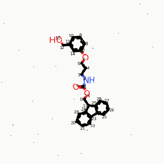 O=C(NCCCOc1cccc(CO)c1)OCC1c2ccccc2-c2ccccc21